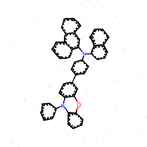 c1ccc(N2c3ccccc3Oc3cc(-c4ccc(N(c5cccc6ccccc56)c5cc6ccccc6c6ccccc56)cc4)ccc32)cc1